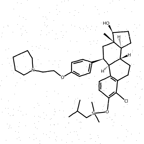 CC(C)C[Si](C)(C)Oc1ccc2c(c1Cl)CC[C@@H]1[C@@H]2[C@@H](c2ccc(OCCN3CCCCC3)cc2)C[C@]2(C)[C@@H](O)CC[C@@H]12